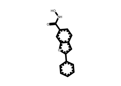 O=C(NO)c1ccc2cc(-c3ccccc3)oc2c1